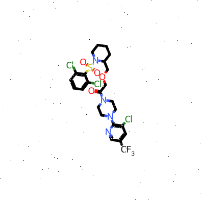 O=C(COCC1CCCCN1S(=O)(=O)c1c(Cl)cccc1Cl)N1CCN(c2ncc(C(F)(F)F)cc2Cl)CC1